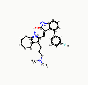 CN(C)CCCc1c(/C=C2\C(=O)Nc3cccc(-c4cccc(F)c4)c32)[nH]c2c1CCCCC2